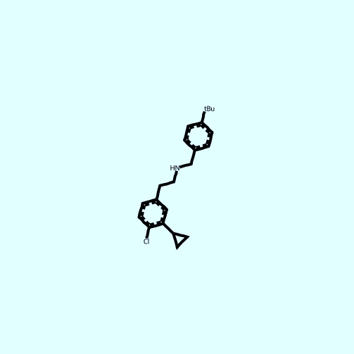 CC(C)(C)c1ccc(CNCCc2ccc(Cl)c(C3CC3)c2)cc1